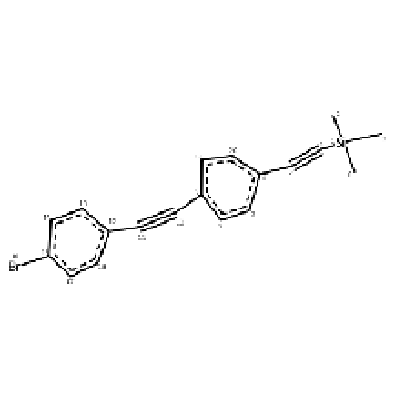 C[Si](C)(C)C#Cc1ccc(C#Cc2ccc(Br)cc2)cc1